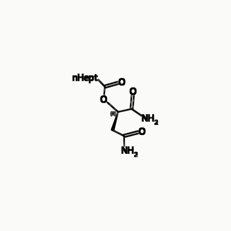 CCCCCCCC(=O)O[C@H](CC(N)=O)C(N)=O